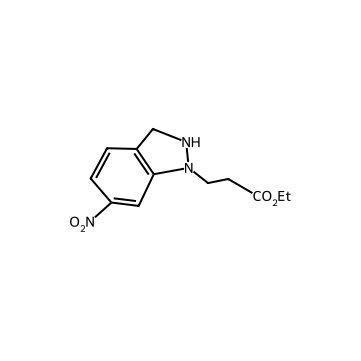 CCOC(=O)CCN1NCc2ccc([N+](=O)[O-])cc21